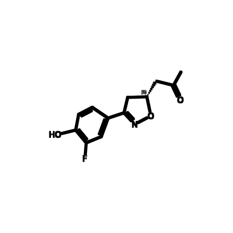 CC(=O)C[C@H]1CC(c2ccc(O)c(F)c2)=NO1